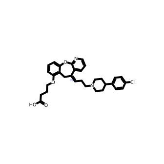 O=C(O)CCCOc1cccc2c1C/C(=C/CCN1CCC(c3ccc(Cl)cc3)CC1)c1cccnc1O2